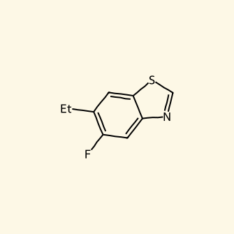 CCc1cc2scnc2cc1F